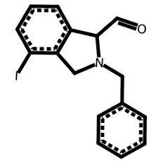 O=CC1c2cccc(I)c2CN1Cc1ccccc1